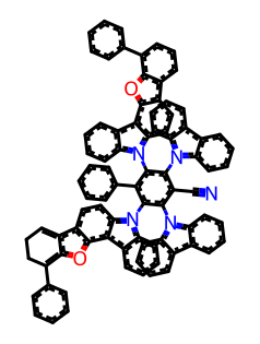 N#Cc1c(-n2c3ccccc3c3ccccc32)c(-n2c3ccccc3c3c4oc5c(c4ccc32)=CCCC=5c2ccccc2)c(-c2ccccc2)c(-n2c3ccccc3c3c4oc5c(-c6ccccc6)cccc5c4ccc32)c1-n1c2ccccc2c2ccccc21